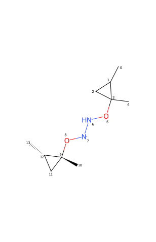 CC1CC1(C)ON[N]O[C@]1(C)C[C@@H]1C